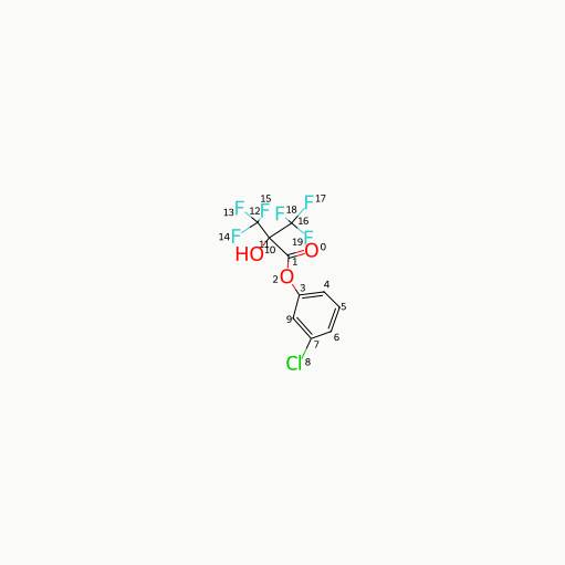 O=C(Oc1cccc(Cl)c1)C(O)(C(F)(F)F)C(F)(F)F